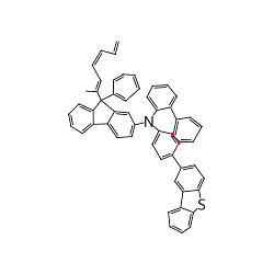 C=C/C=C\C=C(/C)C1(c2ccccc2)c2ccccc2-c2ccc(N(c3ccc(-c4ccc5sc6ccccc6c5c4)cc3)c3ccccc3-c3ccccc3)cc21